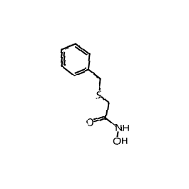 O=C(CSCc1ccccc1)NO